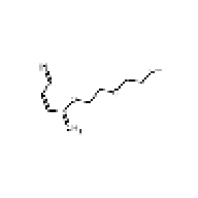 C=C(/C=C\C=N)OCCOCCO